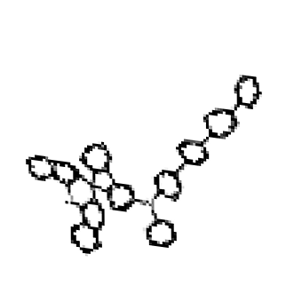 c1ccc(-c2ccc(-c3ccc(-c4ccc(N(c5ccccc5)c5ccc6c(c5)-c5ccccc5C65c6ccc7ccccc7c6Oc6c5ccc5ccccc65)cc4)cc3)cc2)cc1